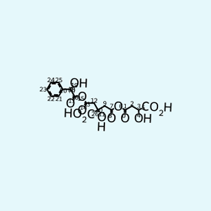 O=C(CC(O)C(=O)O)OC(=O)CC(O)(CC(=O)OC(=O)[C@H](O)c1ccccc1)C(=O)O